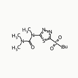 CCC(C)S(=O)(=O)c1nnc(N(C)C(=O)N(C)C)s1